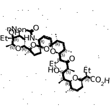 CCCCCCCCCC(=O)N[C@@H]1C=C[C@]2(O[C@H]([C@@H](CC)C(=O)[C@@H](C)[C@@H](O)[C@H](C)[C@@H]3O[C@@H]([C@@H](CC)C(=O)O)CC[C@@H]3C)[C@@H](C)C[C@H]2C)O[C@@]12CC[C@@](C)([C@H]1CC[C@](O)(CC)[C@H](C)O1)O2